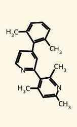 Cc1cc(C)c(-c2cc(-c3c(C)cccc3C)ccn2)c(C)n1